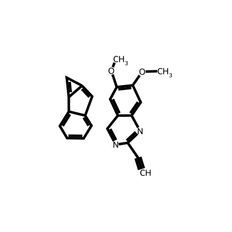 C#Cc1ncc2cc(OC)c(OC)cc2n1.c1ccc2c3cc-3cc2c1